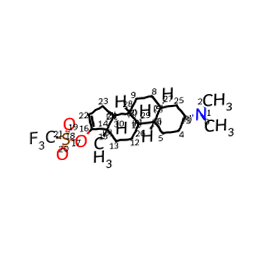 CN(C)[C@@H]1CC[C@H]2[C@@H](CC[C@@H]3[C@@H]2CC[C@]2(C)C(OS(=O)(=O)C(F)(F)F)=CC[C@@H]32)C1